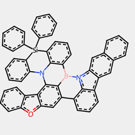 c1ccc([Si]2(c3ccccc3)c3ccccc3N3c4c(cccc42)B2c4c(cc5oc6ccccc6c5c43)-c3cccc4c5cc6ccccc6cc5n2c34)cc1